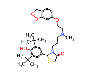 CN(CCCN1C(=O)CS[C@H]1c1cc(C(C)(C)C)c(O)c(C(C)(C)C)c1)CCOc1ccc2c(c1)OOC2